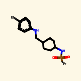 CCc1ccc(NCC2CCC(NS(=O)(=O)C(C)C)CC2)cc1